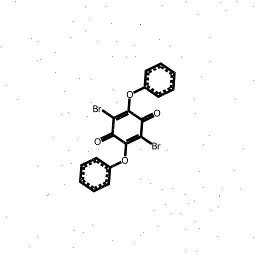 O=C1C(Br)=C(Oc2ccccc2)C(=O)C(Br)=C1Oc1ccccc1